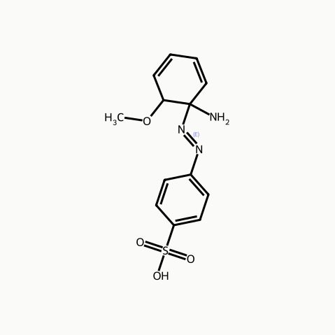 COC1C=CC=CC1(N)/N=N/c1ccc(S(=O)(=O)O)cc1